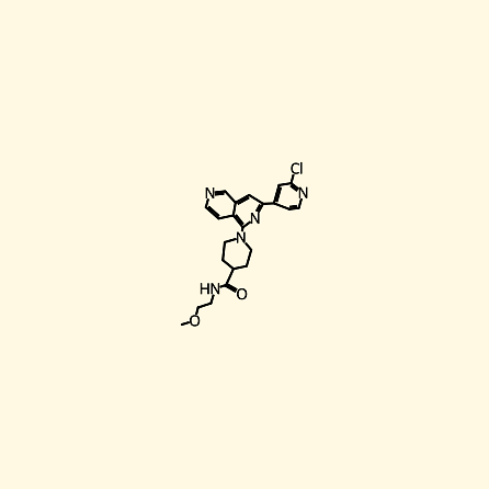 COCCNC(=O)C1CCN(c2nc(-c3ccnc(Cl)c3)cc3cnccc23)CC1